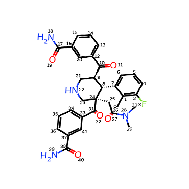 Cc1c(F)cccc1[C@H]1[C@H](C(=O)c2cccc(C(N)=O)c2)CNC[C@]1(CC(=O)N(C)C)C(=O)c1cccc(C(N)=O)c1